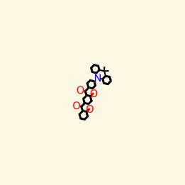 CC1(C)c2ccccc2N(c2ccc3c(=O)c4cc5c(=O)c6ccccc6oc5cc4oc3c2)c2ccccc21